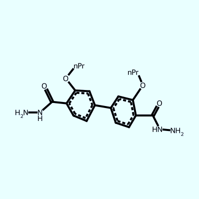 CCCOc1cc(-c2ccc(C(=O)NN)c(OCCC)c2)ccc1C(=O)NN